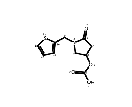 O=C(O)OC1CC(=O)N(Cc2cccs2)C1